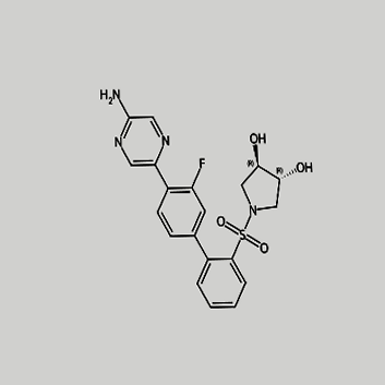 Nc1cnc(-c2ccc(-c3ccccc3S(=O)(=O)N3C[C@@H](O)[C@H](O)C3)cc2F)cn1